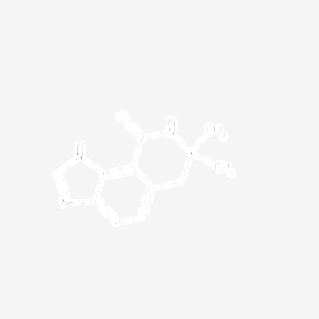 CC1(C)Cc2ccc3nc[nH]c3c2C(=O)N1